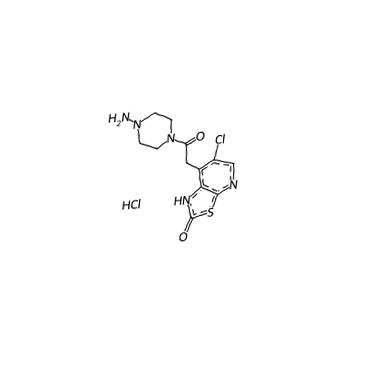 Cl.NN1CCN(C(=O)Cc2c(Cl)cnc3sc(=O)[nH]c23)CC1